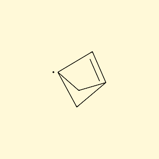 C1=C2C[C]1C2